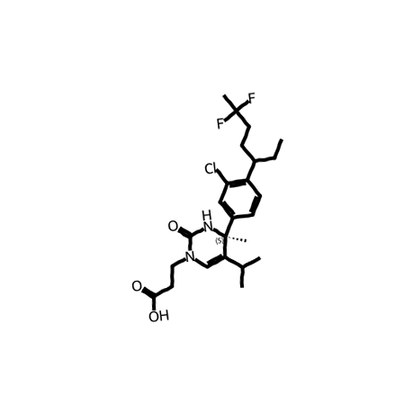 CCC(CCC(C)(F)F)c1ccc([C@]2(C)NC(=O)N(CCC(=O)O)C=C2C(C)C)cc1Cl